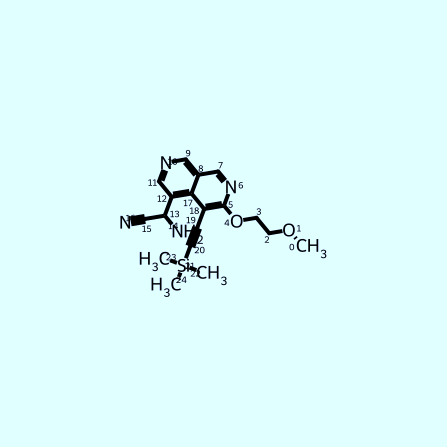 COCCOc1ncc2cncc(C(N)C#N)c2c1C#C[Si](C)(C)C